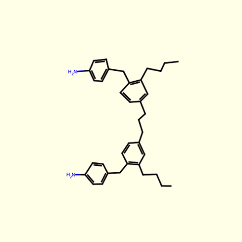 CCCCc1cc(CCCc2ccc(Cc3ccc(N)cc3)c(CCCC)c2)ccc1Cc1ccc(N)cc1